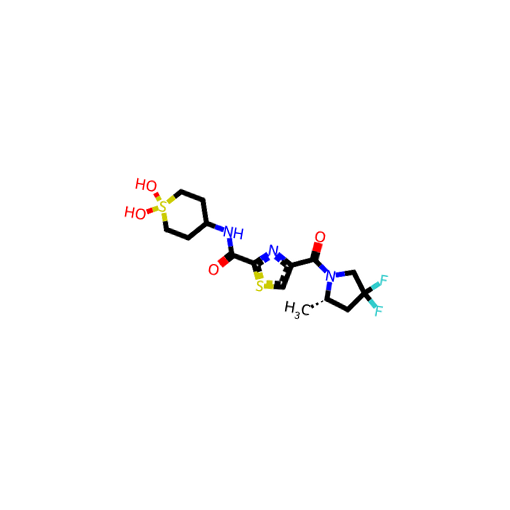 C[C@H]1CC(F)(F)CN1C(=O)c1csc(C(=O)NC2CCS(O)(O)CC2)n1